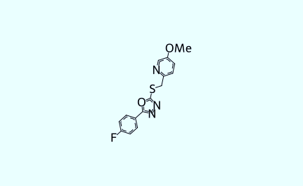 COc1ccc(CSc2nnc(-c3ccc(F)cc3)o2)nc1